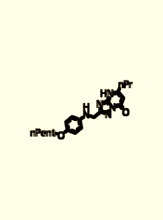 CCCCCOc1ccc(NCc2nc3[nH]c(CCC)cc(=O)n3n2)cc1